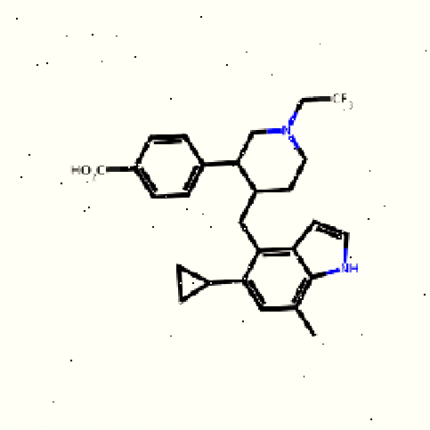 Cc1cc(C2CC2)c(CC2CCN(CC(F)(F)F)CC2c2ccc(C(=O)O)cc2)c2cc[nH]c12